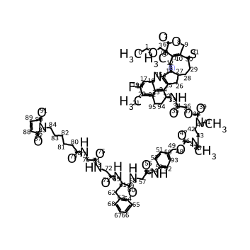 CCOC[C@@]1(C)C(=O)OCC2=C1/C=C1/c3nc4cc(F)c(C)c5c4c(c3CC1CCC2=S)C(NC(=O)COC(=O)N(C)CCN(C)C(=O)OCc1ccc(NC(=O)CNC(=O)C(Cc2ccccc2)NC(=O)CNC(=O)CNC(=O)CCCCCN2C(=O)C=CC2=O)cc1)CC5